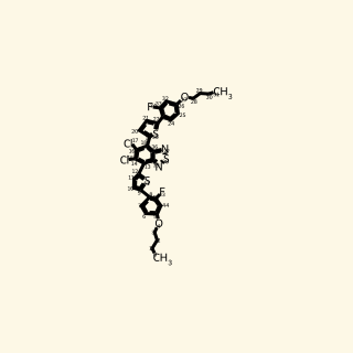 CCCCOc1ccc(-c2ccc(-c3c(Cl)c(Cl)c(-c4ccc(-c5ccc(OCCCC)cc5F)s4)c4nsnc34)s2)c(F)c1